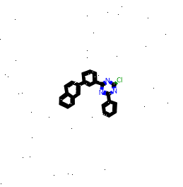 Clc1nc(-c2ccccc2)nc(-c2cccc(-c3ccc4ccccc4c3)c2)n1